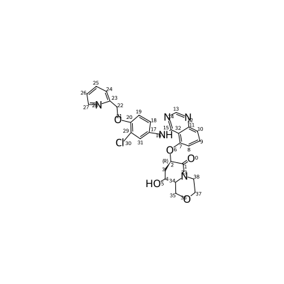 O=C([C@@H](CCO)Oc1cccc2ncnc(Nc3ccc(OCc4ccccn4)c(Cl)c3)c12)N1CCOCC1